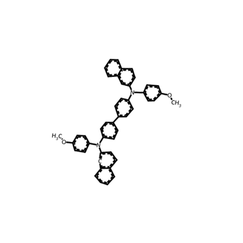 COc1ccc(N(c2ccc(-c3ccc(N(c4ccc(OC)cc4)c4ccc5ccccc5c4)cc3)cc2)c2ccc3ccccc3c2)cc1